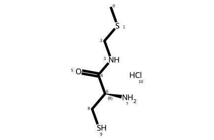 CSCNC(=O)[C@@H](N)CS.Cl